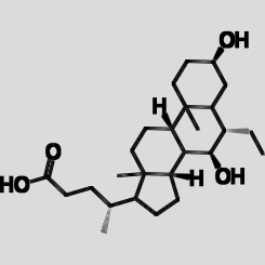 CC[C@H]1C2C[C@H](O)CCC2(C)[C@H]2CCC3(C)C([C@H](C)CCC(=O)O)CC[C@H]3C2[C@@H]1O